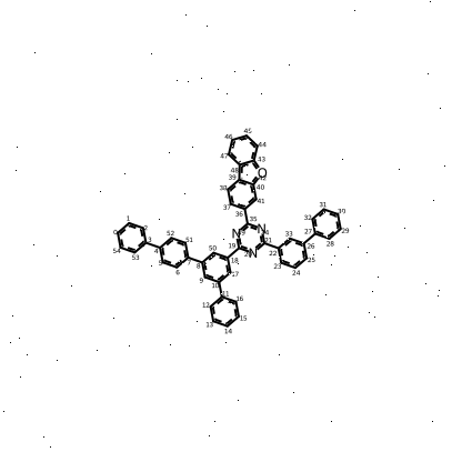 c1ccc(-c2ccc(-c3cc(-c4ccccc4)cc(-c4nc(-c5cccc(-c6ccccc6)c5)nc(-c5ccc6c(c5)oc5ccccc56)n4)c3)cc2)cc1